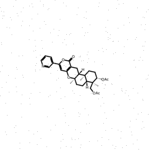 CC(=O)OC[C@@]1(C)[C@@H]2CC[C@@]3(C)Oc4cc(-c5cccnc5)oc(=O)c4C[C@@H]3[C@@]2(C)CC[C@@H]1OC(C)=O